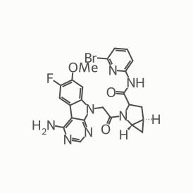 COc1cc2c(cc1F)c1c(N)ncnc1n2CC(=O)N1C(C(=O)Nc2cccc(Br)n2)C[C@H]2C[C@@H]21